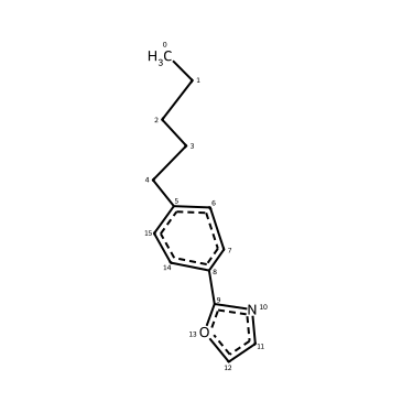 CCCCCc1ccc(-c2ncco2)cc1